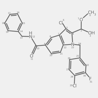 COC(O)c1c(Cl)c2cc(C(=O)NCc3ccccc3)ccc2n1Cc1ccc(Cl)c(F)c1